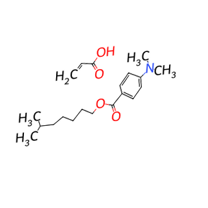 C=CC(=O)O.CC(C)CCCCCOC(=O)c1ccc(N(C)C)cc1